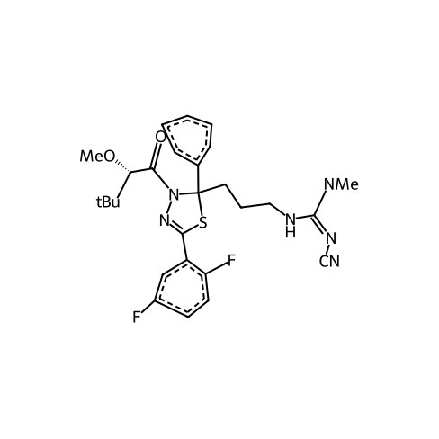 CN/C(=N/C#N)NCCCC1(c2ccccc2)SC(c2cc(F)ccc2F)=NN1C(=O)[C@@H](OC)C(C)(C)C